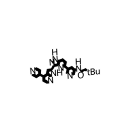 CC(C)(C)CC(=O)Nc1cncc(-c2ccc3[nH]nc(-c4cc5c(-c6ccncc6)ccnc5[nH]4)c3n2)c1